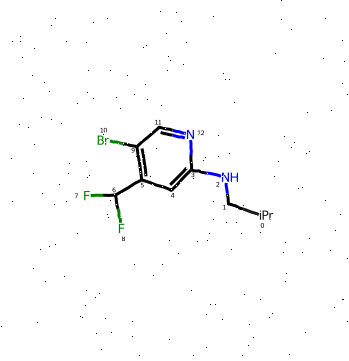 CC(C)CNc1cc(C(F)F)c(Br)cn1